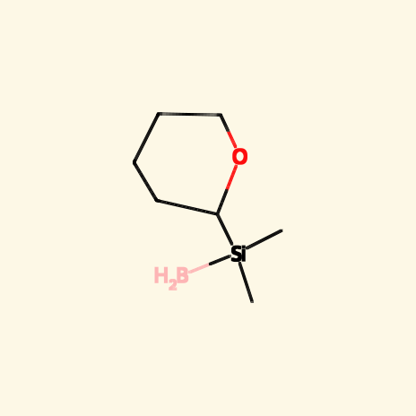 B[Si](C)(C)C1CCCCO1